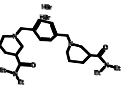 Br.Br.CCN(CC)C(=O)C1CCCN(Cc2ccc(CN3CCCC(C(=O)N(CC)CC)C3)cc2)C1